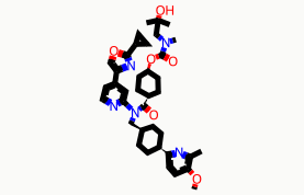 COc1ccc([C@H]2CC[C@H](CN(c3cc(-c4coc(C5CC5)n4)ccn3)C(=O)[C@H]3CC[C@H](OC(=O)N(C)CC(C)(C)O)CC3)CC2)nc1C